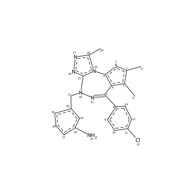 Cc1sc2c(c1C)C(c1ccc(Cl)cc1)=NN(Cc1cccc(N)c1)c1nnc(C)n1-2